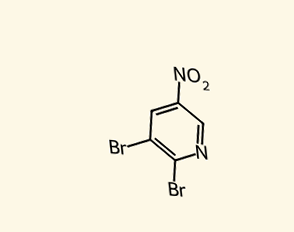 O=[N+]([O-])c1cnc(Br)c(Br)c1